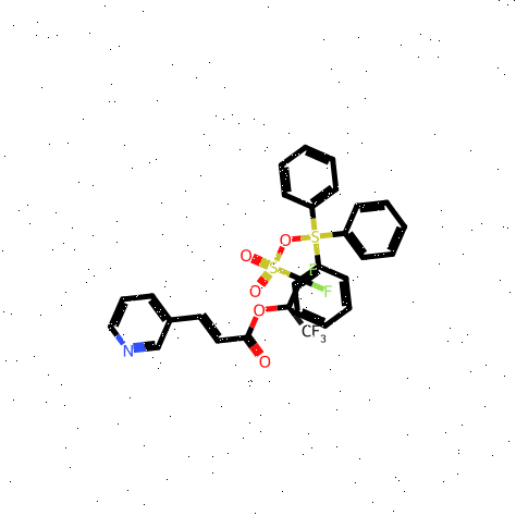 O=C(C=Cc1cccnc1)OC(C(F)(F)F)C(F)(F)S(=O)(=O)OS(c1ccccc1)(c1ccccc1)c1ccccc1